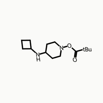 CC(C)(C)C(=O)ON1CCC(NC2CCC2)CC1